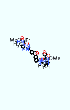 COC(=O)NC(C(=O)N1[C@@H](C)CC[C@H]1c1ncc(-c2ccc3c(c2)COc2cc4c(ccc5nc([C@H](C)N(C(=O)[C@@H](NC(=O)OC)C6CCOCC6)[C@H]6CCC[C@H]6C)[nH]c54)cc2-3)[nH]1)C(C)C